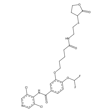 O=C(CCCCOc1cc(C(=O)Nc2c(Cl)cncc2Cl)ccc1OC(F)F)NCCSC1CCOC1=O